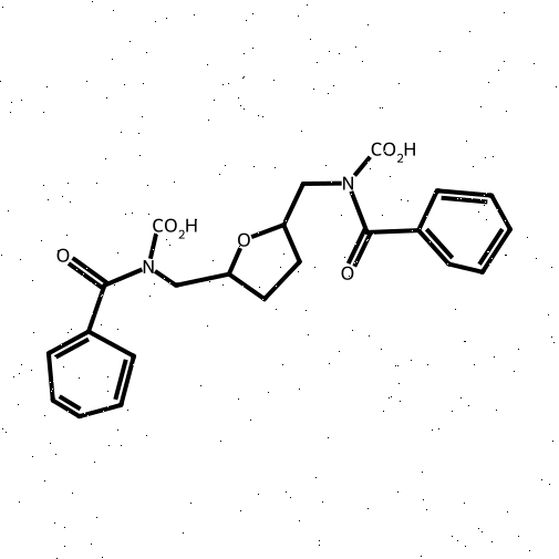 O=C(O)N(CC1CCC(CN(C(=O)O)C(=O)c2ccccc2)O1)C(=O)c1ccccc1